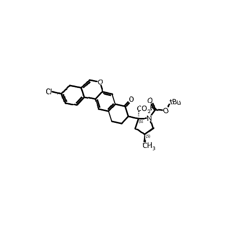 C[C@@H]1CN(C(=O)OC(C)(C)C)[C@](C(=O)O)(C2CCc3cc4c(cc3C2=O)OC=C2CC(Cl)=CC=C24)C1